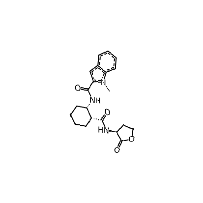 Cn1c(C(=O)N[C@H]2CCCC[C@H]2C(=O)N[C@H]2CCOC2=O)cc2ccccc21